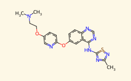 Cc1nsc(Nc2ncnc3ccc(Oc4ccc(OCCN(C)C)cn4)cc23)n1